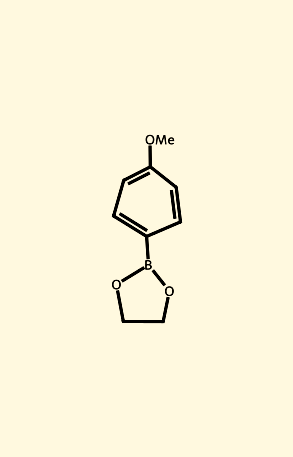 COc1ccc(B2OCCO2)cc1